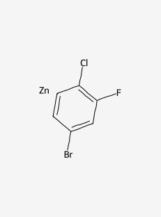 Fc1cc(Br)ccc1Cl.[Zn]